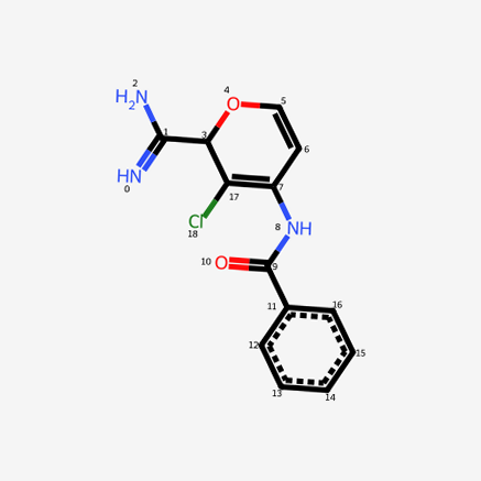 N=C(N)C1OC=CC(NC(=O)c2ccccc2)=C1Cl